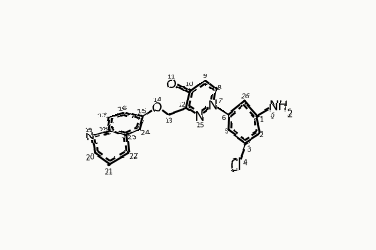 Nc1cc(Cl)cc(-n2ccc(=O)c(COc3ccc4ncccc4c3)n2)c1